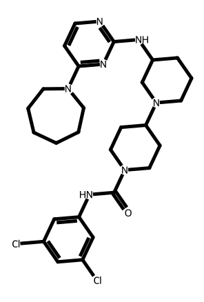 O=C(Nc1cc(Cl)cc(Cl)c1)N1CCC(N2CCCC(Nc3nccc(N4CCCCCC4)n3)C2)CC1